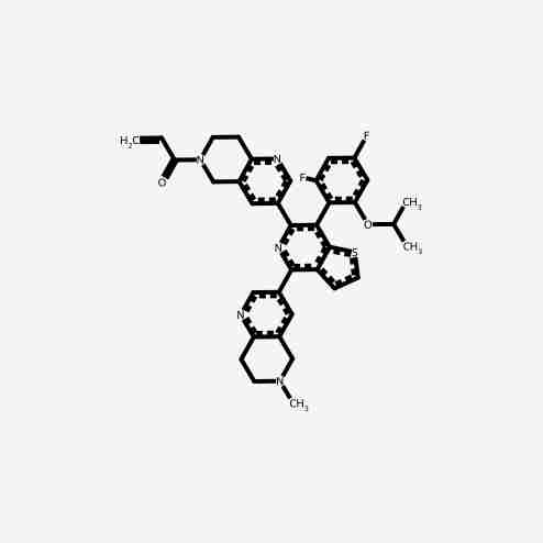 C=CC(=O)N1CCc2ncc(-c3nc(-c4cnc5c(c4)CN(C)CC5)c4ccsc4c3-c3c(F)cc(F)cc3OC(C)C)cc2C1